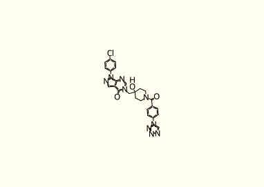 O=C(c1ccc(-n2cnnn2)cc1)N1CCC(O)(Cn2cnc3c(cnn3-c3ccc(Cl)cc3)c2=O)CC1